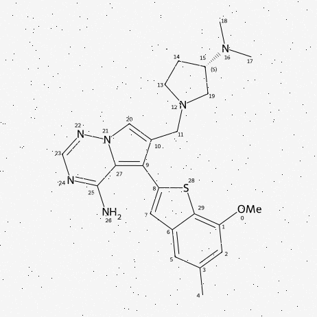 COc1cc(C)cc2cc(-c3c(CN4CC[C@H](N(C)C)C4)cn4ncnc(N)c34)sc12